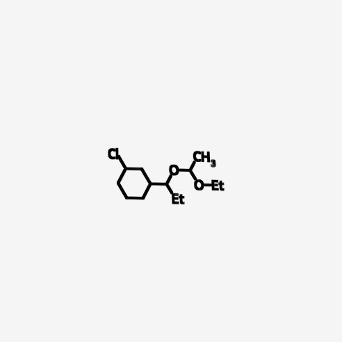 CCOC(C)OC(CC)C1CCCC(Cl)C1